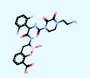 NCCN1CCN(C(=O)NC(C(=O)NC2Cc3cccc(C(=O)O)c3OB2O)c2c(F)cccc2Cl)C(=O)C1=O